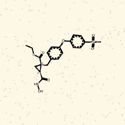 CCOC(=O)[C@@]1(Cc2ccc(Oc3ccc(S(C)(=O)=O)cc3)cc2)C[C@@H]1C(=O)NO